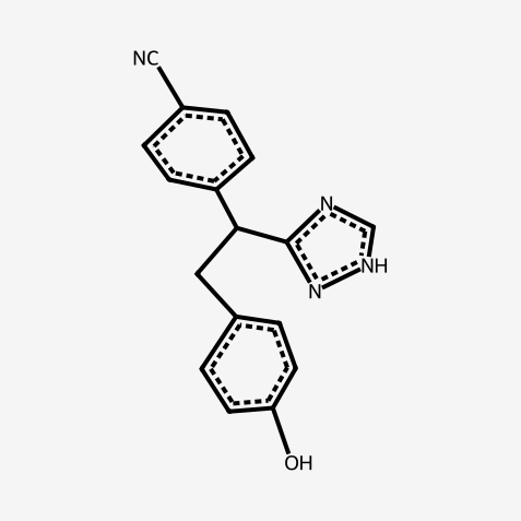 N#Cc1ccc(C(Cc2ccc(O)cc2)c2nc[nH]n2)cc1